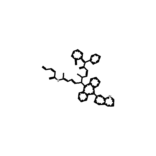 C=C/C=C\C(=C)S/C(C)=C/C=CC(c1c2ccccc2c(-c2ccc3cccnc3c2)c2ccccc12)C(C)/C=C\C(=C)/C(c1ccccc1)=c1/ccccc1=C